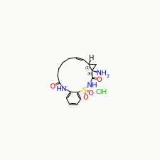 Cl.N[C@]12C[C@H]1C=CCCCCC(=O)Nc1ccccc1S(=O)(=O)NC2=O